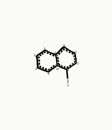 Ic1[c]ccc2ccccc12